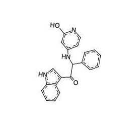 O=C(c1c[nH]c2ccccc12)C(Nc1ccnc(O)c1)c1ccccc1